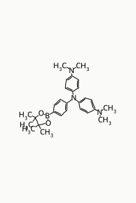 CN(C)c1ccc(N(c2ccc(B3OC(C)(C)C(C)(C)O3)cc2)c2ccc(N(C)C)cc2)cc1